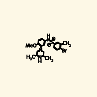 COc1ccc(NS(=O)(=O)c2ccc(Br)c(C)c2)cc1N1CC(C)NC(C)C1